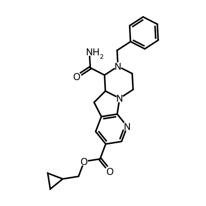 NC(=O)C1C2Cc3cc(C(=O)OCC4CC4)cnc3N2CCN1Cc1ccccc1